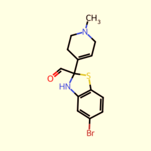 CN1CC=C(C2(C=O)Nc3cc(Br)ccc3S2)CC1